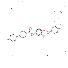 CC1CCC(OCc2ccc(OC(=O)C3CCC(C4CCC(C)CC4)CC3)c(F)c2F)CC1